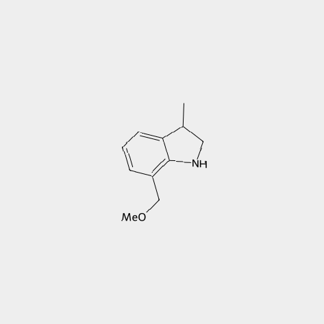 COCc1cccc2c1NCC2C